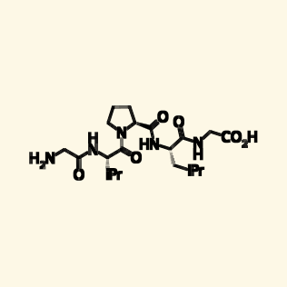 CC(C)C[C@H](NC(=O)[C@@H]1CCCN1C(=O)[C@@H](NC(=O)CN)C(C)C)C(=O)NCC(=O)O